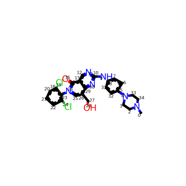 CN1CCN(c2ccc(Nc3ncc4c(=O)n(-c5c(Cl)cccc5Cl)cc(CO)c4n3)cc2)CC1